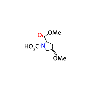 COC=C1CC(C(=O)OC)N(C(=O)O)C1